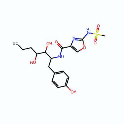 CS(=O)(=O)Nc1nc(C(=O)NC(Cc2ccc(O)cc2)C(O)C(O)CCC#N)co1